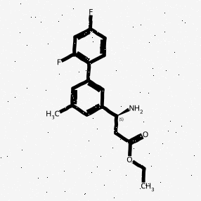 CCOC(=O)C[C@H](N)c1cc(C)cc(-c2ccc(F)cc2F)c1